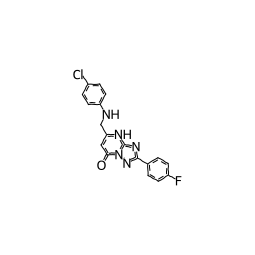 O=c1cc(CNc2ccc(Cl)cc2)[nH]c2nc(-c3ccc(F)cc3)nn12